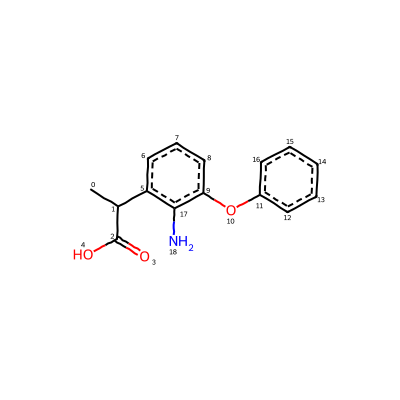 CC(C(=O)O)c1cccc(Oc2ccccc2)c1N